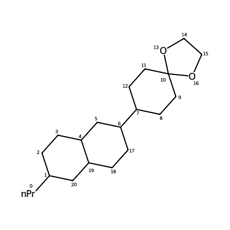 CCCC1CCC2CC(C3CCC4(CC3)OCCO4)CCC2C1